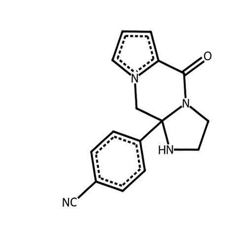 N#Cc1ccc(C23Cn4cccc4C(=O)N2CCN3)cc1